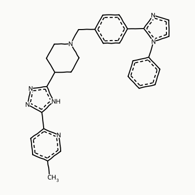 Cc1ccc(-c2nnc(C3CCN(Cc4ccc(-c5nccn5-c5ccccc5)cc4)CC3)[nH]2)nc1